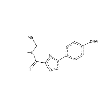 COc1ccc(-c2csc(C(=O)N(C)CS)n2)cc1